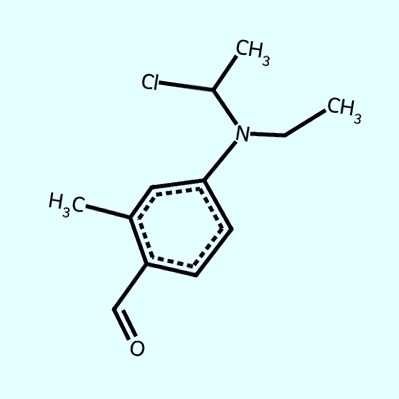 CCN(c1ccc(C=O)c(C)c1)C(C)Cl